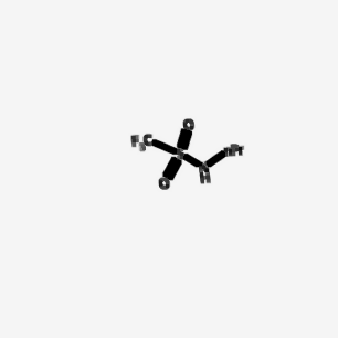 CCCNS(=O)(=O)C(F)(F)F